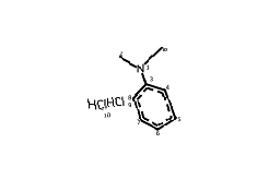 CN(C)c1ccccc1.Cl.Cl